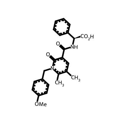 COc1ccc(Cn2c(C)c(C)cc(C(=O)N[C@H](C(=O)O)c3ccccc3)c2=O)cc1